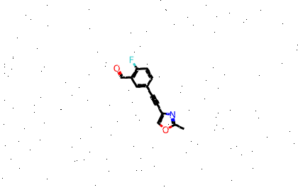 Cc1nc(C#Cc2ccc(F)c(C=O)c2)co1